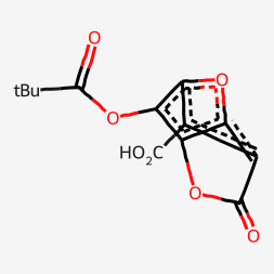 CC(C)(C)C(=O)Oc1c2c3oc1c(C(=O)O)c3C(=O)O2